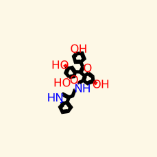 O=C(NCCc1c[nH]c2ccccc12)c1cc(O)cc2oc(-c3ccc(O)cc3)c(-c3cc(O)cc(O)c3)c12